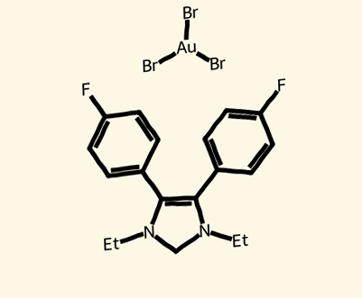 CCN1CN(CC)C(c2ccc(F)cc2)=C1c1ccc(F)cc1.[Br][Au]([Br])[Br]